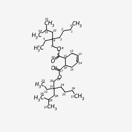 CCCCC(CC)(COC(=O)C1CC=CCC1C(=O)OCC(CC)(CCCC)CC(C)C)CC(C)C